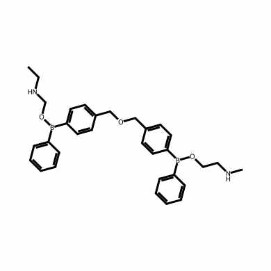 CCNCOB(c1ccccc1)c1ccc(COCc2ccc(B(OCCNC)c3ccccc3)cc2)cc1